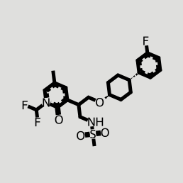 Cc1cc(C(CNS(C)(=O)=O)CO[C@H]2CC[C@@H](c3cccc(F)c3)CC2)c(=O)n(C(F)F)c1